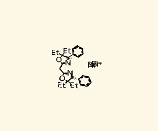 CCC1(CC)OC(CC2=N[C@H](c3ccccc3)C(CC)(CC)O2)=N[C@@H]1c1ccccc1.[Br-].[Br-].[Ni+2]